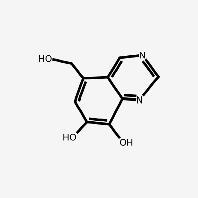 OCc1cc(O)c(O)c2ncncc12